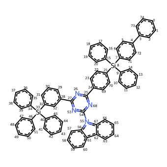 c1ccc(-c2ccc([Si](c3ccccc3)(c3ccccc3)c3ccc(-c4nc(-c5cccc([Si](c6ccccc6)(c6ccccc6)c6ccccc6)c5)nc(-n5c6ccccc6c6ccccc65)n4)cc3)cc2)cc1